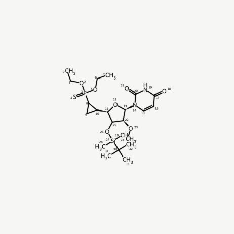 CCOP(=S)(OCC)C1CC1[C@H]1O[C@@H](n2ccc(=O)[nH]c2=O)[C@@H](OC)C1O[Si](C)(C)C(C)(C)C